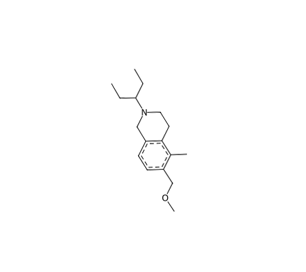 CCC(CC)N1CCc2c(ccc(COC)c2C)C1